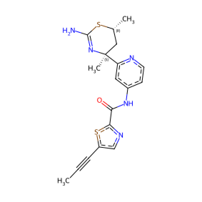 CC#Cc1cnc(C(=O)Nc2ccnc([C@]3(C)C[C@@H](C)SC(N)=N3)c2)s1